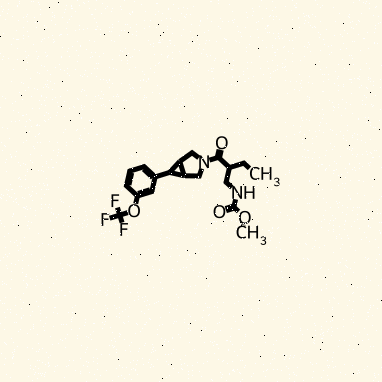 CCC(CNC(=O)OC)C(=O)N1CC2C(C1)C2c1cccc(OC(F)(F)F)c1